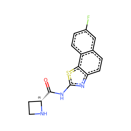 O=C(Nc1nc2ccc3cc(F)ccc3c2s1)[C@H]1CCN1